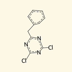 Clc1nc(Cl)nc(Cc2ccccc2)n1